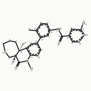 CCN1C(=O)[C@@H]2COCCC[C@H]2c2cc(-c3cc(NC(=O)c4cnnc(C(F)(F)F)c4)ccc3C)cnc21